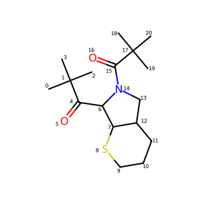 CC(C)(C)C(=O)C1C2SCCCC2CN1C(=O)C(C)(C)C